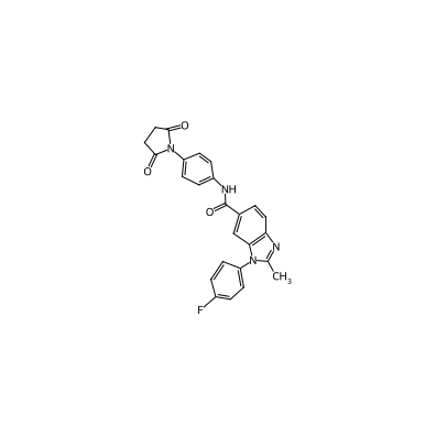 Cc1nc2ccc(C(=O)Nc3ccc(N4C(=O)CCC4=O)cc3)cc2n1-c1ccc(F)cc1